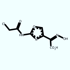 O=C(CCl)Nc1nc(/C(=N/O)C(=O)O)co1